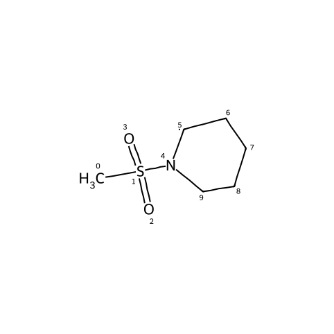 CS(=O)(=O)N1[CH]CCCC1